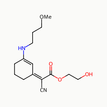 COCCCNC1=C/C(=C(/C#N)C(=O)OCCO)CCC1